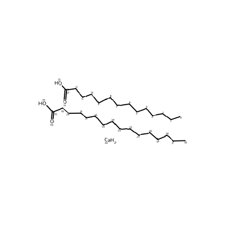 CCCCCCCCCCCCCC(=O)O.CCCCCCCCCCCCCCCC(=O)O.[CaH2]